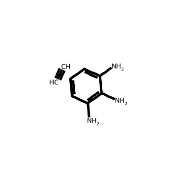 C#C.Nc1cccc(N)c1N